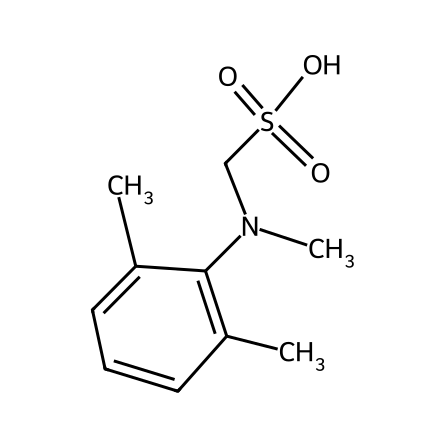 Cc1cccc(C)c1N(C)CS(=O)(=O)O